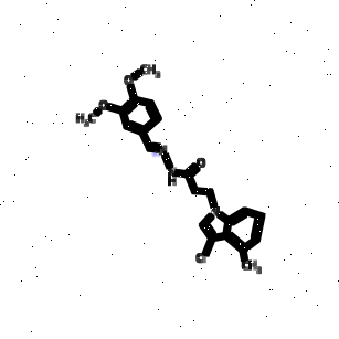 COc1ccc(/C=N/NC(=O)CCn2cc(Cl)c3c(C)cccc32)cc1OC